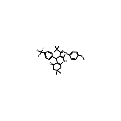 COc1ccc(-n2nc(C(C)(C)C)c3c2NC2=C(C(=O)CC(C)(C)C2)C3c2ccc(C(F)(F)F)cc2)cc1